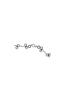 C=CC(=O)OCCCCCC(=O)Oc1ccc(C2(C)CCC(C(C)(C)c3ccc(OC(=O)CCCCCOC(=O)C=C)cc3)CC2)cc1